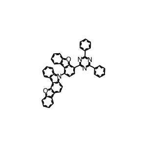 c1ccc(-c2nc(-c3ccccc3)nc(-c3ccc(-n4c5ccccc5c5c6oc7ccccc7c6ccc54)c4c3oc3ccccc34)n2)cc1